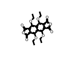 CCOc1c2c(OCC)c3c(=O)oc(=O)c3c(OCC)c2c(OCC)c2c(=O)oc(=O)c12